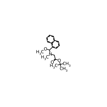 COC(c1cccc2ccccc12)N(C)CC(=O)OC(C)(C)C